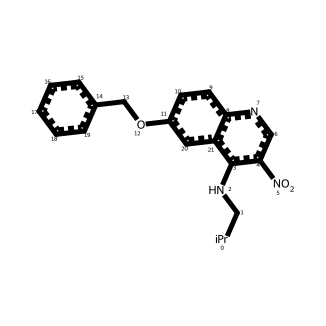 CC(C)CNc1c([N+](=O)[O-])cnc2ccc(OCc3ccccc3)cc12